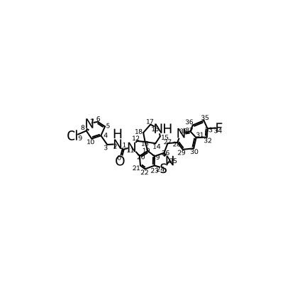 O=C(NCc1ccnc(Cl)c1)N1CC2(CCNCC2)c2c1ccc1snc(Cc3ccc4cc(F)ccc4n3)c21